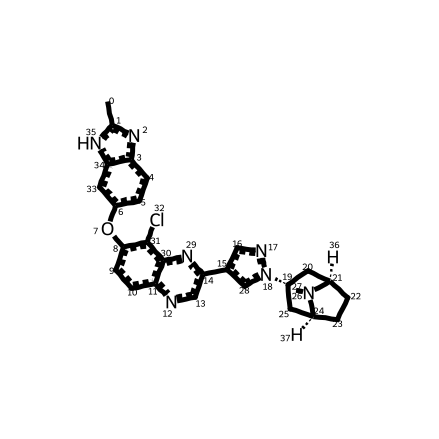 Cc1nc2ccc(Oc3ccc4ncc(-c5cnn([C@@H]6C[C@H]7CC[C@@H](C6)N7C)c5)nc4c3Cl)cc2[nH]1